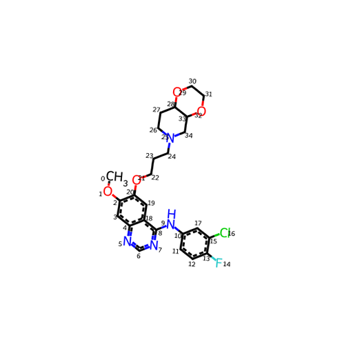 COc1cc2ncnc(Nc3ccc(F)c(Cl)c3)c2cc1OCCCN1CCC2OCCOC2C1